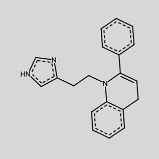 C1=C(c2ccccc2)N(CCc2c[nH]cn2)c2ccccc2C1